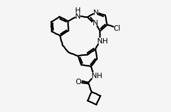 O=C(Nc1cc2cc(c1)Nc1nc(ncc1Cl)Nc1cccc(c1)CC2)C1CCC1